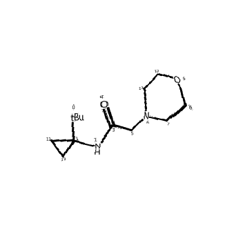 CC(C)(C)C1(NC(=O)CN2CCOCC2)CC1